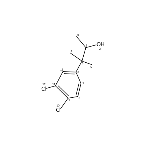 CC(O)C(C)(C)c1ccc(Cl)c(Cl)c1